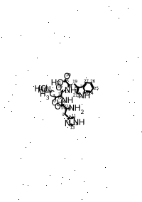 CC(C)[C@H](NC(=O)[C@@H](N)Cc1c[nH]cn1)C(=O)N[C@@H](Cc1c[nH]c2ccccc12)C(=O)O.Cl.Cl